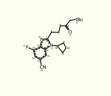 CC(C)(C)CC(=O)CCCc1nc2c(F)cc(C#N)cc2n1C1CCC1